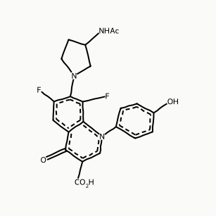 CC(=O)NC1CCN(c2c(F)cc3c(=O)c(C(=O)O)cn(-c4ccc(O)cc4)c3c2F)C1